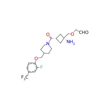 N[C@]1(COCC=O)C[C@H](C(=O)N2CCC(COc3ccc(C(F)(F)F)cc3F)CC2)C1